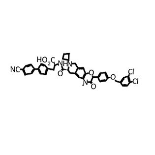 CN1C(=O)C(c2ccc(OCc3ccc(Cl)c(Cl)c3)cc2)Oc2cc3c(cc21)C[C@@H](C(=O)N[C@@H](Cc1ccc(-c2ccc(C#N)cc2)cc1)C(=O)O)N(C1CCC1)C3